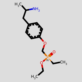 CCO[P@](=O)(CC)COc1ccc(CC(C)N)cc1